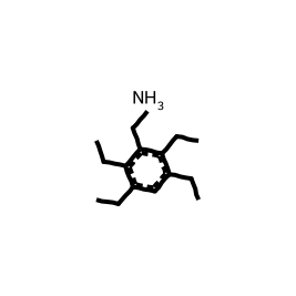 CCc1cc(CC)c(CC)c(CC)c1CC.N